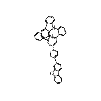 c1ccc(-c2nc(-c3ccc(-c4ccc5c(c4)oc4ccccc45)cc3)cc(-c3ccccc3-n3c4ccccc4c4ccccc43)n2)cc1